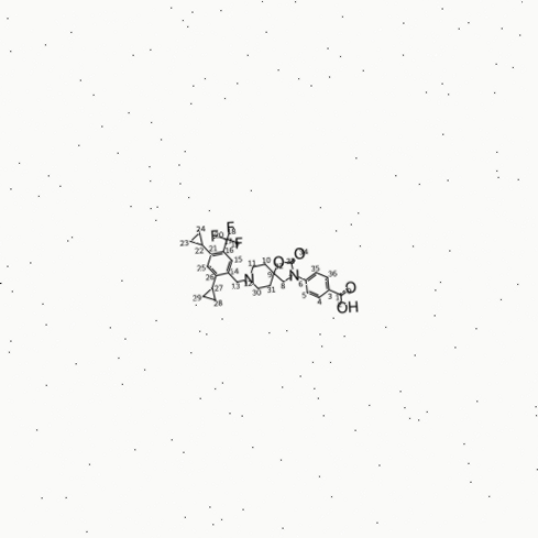 O=C(O)c1ccc(N2CC3(CCN(Cc4cc(C(F)(F)F)c(C5CC5)cc4C4CC4)CC3)OC2=O)cc1